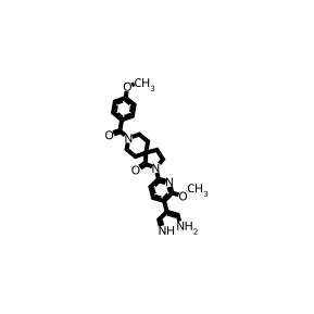 COc1ccc(C(=O)N2CCC3(CC2)CCN(c2ccc(/C(C=N)=C/N)c(OC)n2)C3=O)cc1